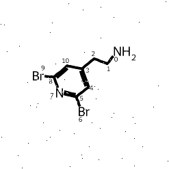 NCCc1cc(Br)nc(Br)c1